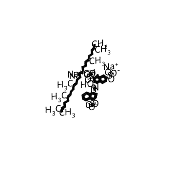 CC(C)=CCC/C(C)=C/CC/C(C)=C/CC/C=C(\C)CC/C=C(\C)CCC=C(C)C.O=S(=O)([O-])c1ccc2c(/N=N/c3ccc(S(=O)(=O)[O-])c4ccccc34)c(O)c(S(=O)(=O)[O-])cc2c1.[Na+].[Na+].[Na+]